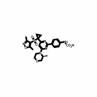 Cc1noc(C)c1S(=O)(=O)C1(c2cc(N3CCOC[C@@H]3C)nc(-c3ccc(NC(=O)O)cc3)n2)CC1